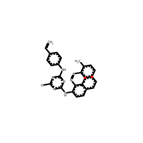 C=Cc1ccc(Nc2nc(Cl)nc(Nc3ccc4ccccc4c3N=Nc3ccccc3C)n2)cc1